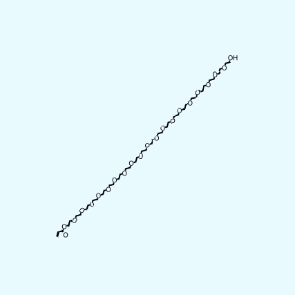 C=CC(=O)OCCOCCOCCOCCOCCOCCOCCOCCOCCOCCOCCOCCOCCOCCOCCOCCOCCOCCOCCOCCO